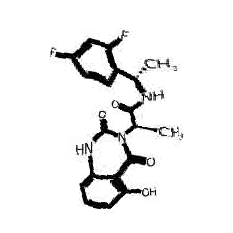 C[C@H](NC(=O)[C@@H](C)n1c(=O)[nH]c2cccc(O)c2c1=O)c1ccc(F)cc1F